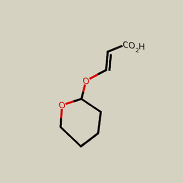 O=C(O)C=COC1CCCCO1